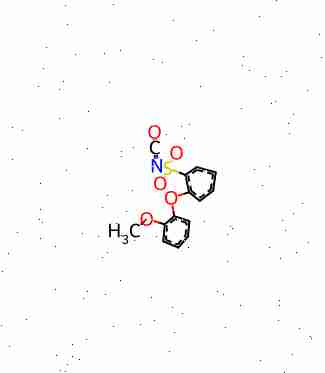 COc1ccccc1Oc1ccccc1S(=O)(=O)N=C=O